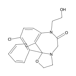 O=C1CN2CCOC2(c2ccccc2)c2cc(Cl)ccc2N1CCO